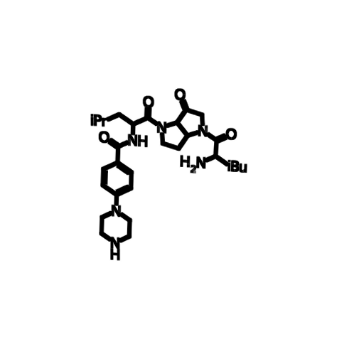 CCC(C)C(N)C(=O)N1CC(=O)C2C1CCN2C(=O)C(CC(C)C)NC(=O)c1ccc(N2CCNCC2)cc1